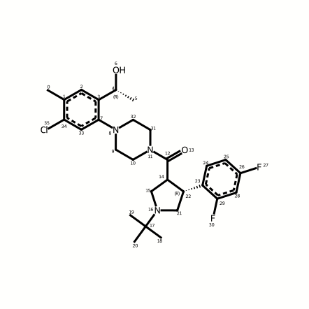 Cc1cc([C@@H](C)O)c(N2CCN(C(=O)C3CN(C(C)(C)C)C[C@H]3c3ccc(F)cc3F)CC2)cc1Cl